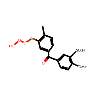 COc1ccc(C(=O)c2ccc(C)c(SOOO)c2)cc1S(=O)(=O)O